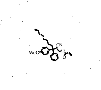 C=CCCCCCCC(c1ccccc1)(c1ccc(OC)cc1)C(C#N)COC(=O)C=C